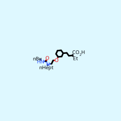 CCCCCCCN(CCOC1CCCC(CCC(CC)C(=O)O)C1)C(=O)NCCCC